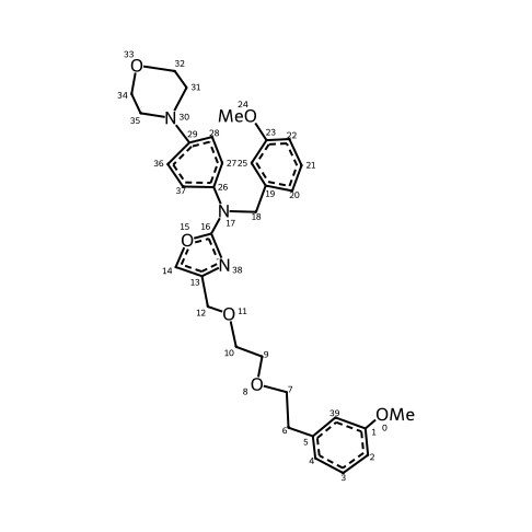 COc1cccc(CCOCCOCc2coc(N(Cc3cccc(OC)c3)c3ccc(N4CCOCC4)cc3)n2)c1